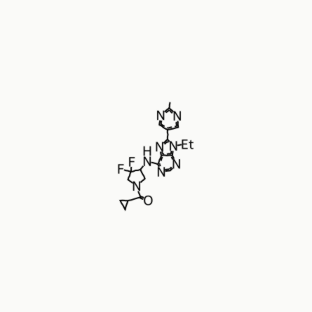 CCn1c(-c2cnc(C)nc2)nc2c(NC3CN(C(=O)C4CC4)CC3(F)F)ncnc21